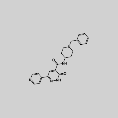 O=C(NC1CCN(Cc2ccccc2)CC1)c1cc(-c2ccncc2)n[nH]c1=O